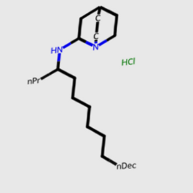 CCCCCCCCCCCCCCCCC(CCC)NC1CC2CCN1CC2.Cl